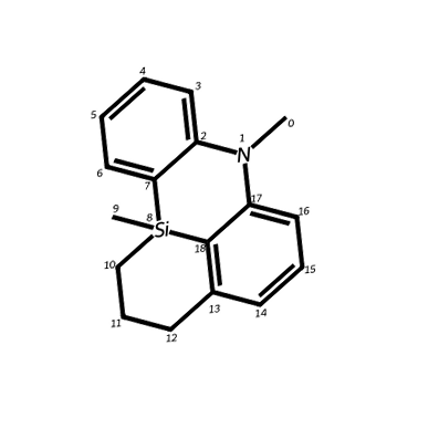 CN1c2ccccc2[Si]2(C)CCCc3cccc1c32